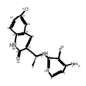 C[C@H](Nc1nccc(N)c1F)c1cc2cc(Cl)ccc2[nH]c1=O